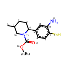 CC1CC[C@@H](c2ccc(S)c(N)c2)N(C(=O)OC(C)(C)C)C1